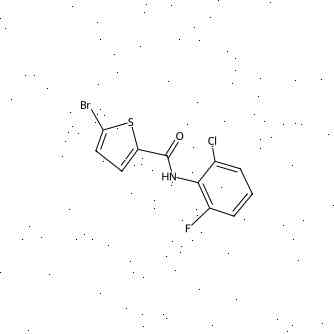 O=C(Nc1c(F)cccc1Cl)c1ccc(Br)s1